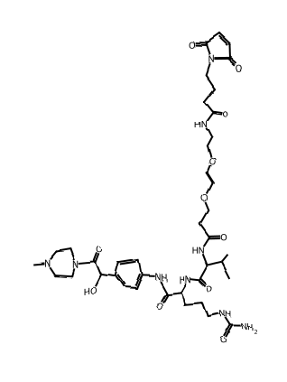 CC(C)C(NC(=O)CCOCCOCCNC(=O)CCCN1C(=O)C=CC1=O)C(=O)N[C@@H](CCCNC(N)=O)C(=O)Nc1ccc(C(O)C(=O)N2CCN(C)CC2)cc1